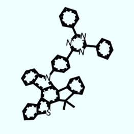 CC1(C)c2ccccc2-c2c1c1sc3ccccc3c1c1c3ccccc3n(-c3ccc(-c4nc(-c5ccccc5)nc(-c5ccccc5)n4)cc3)c21